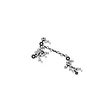 Cc1ncsc1-c1ccc(CNC(=O)[C@@H]2C[C@@H](O)CN2C(=O)[C@H](C(C)C)N2Cc3ccccc3C2=O)c(OCCOCCOCCCCOCCOCCOc2ccc(Nc3ncc(Br)c(NCCCN(C)C(=O)C4CCC4)n3)cc2)c1